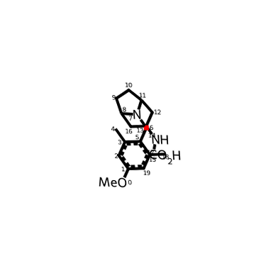 COc1cc(C)c(CN2C3CCC2CC(NC(=O)O)C3)c(C)c1